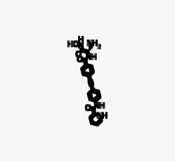 NC[C@H](NC(=O)c1ccc(C#Cc2ccc(NC(=O)C3CCCCN3)cc2)cc1)C(=O)NO